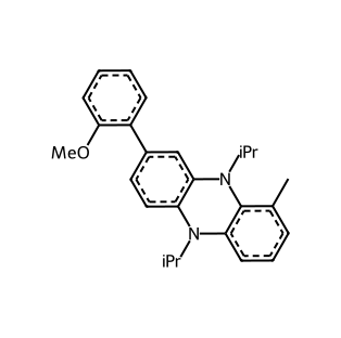 COc1ccccc1-c1ccc2c(c1)N(C(C)C)c1c(C)cccc1N2C(C)C